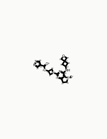 O=C(OC1CN(c2nc3c(c(NC4CC5(COC5)C4)n2)[S+]([O-])CC3)C1)c1cnsc1